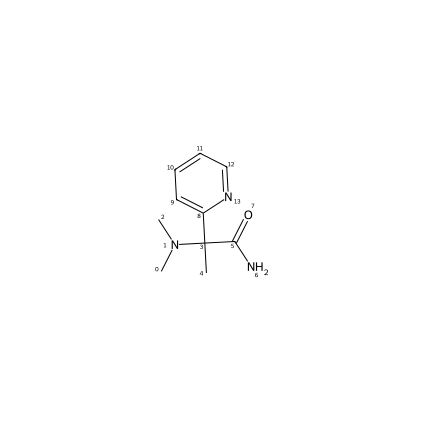 CN(C)C(C)(C(N)=O)c1ccccn1